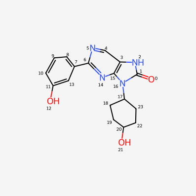 O=c1[nH]c2cnc(-c3cccc(O)c3)nc2n1C1CCC(O)CC1